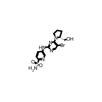 NS(=O)(=O)c1ccc(Nc2ncc(Br)c(N3CCC[C@@H]3CO)n2)cn1